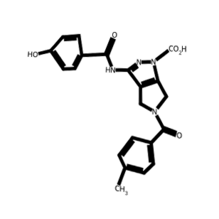 Cc1ccc(C(=O)N2Cc3c(NC(=O)c4ccc(O)cc4)nn(C(=O)O)c3C2)cc1